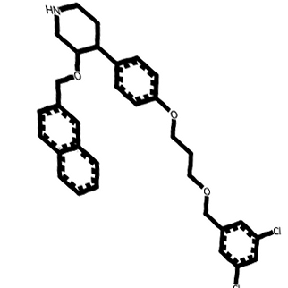 Clc1cc(Cl)cc(COCCCOc2ccc(C3CCNCC3OCc3ccc4ccccc4c3)cc2)c1